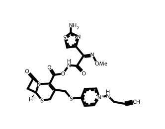 C#CCN[n+]1ccc(SCC2=C(C(=O)ONC(=O)/C(=N\OC)c3csc(N)n3)N3C(=O)C[C@@H]3SC2)cc1